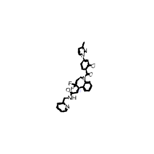 Cc1ccn(-c2ccc(C(=O)N3CCC(F)(F)/C(=C\C(=O)NCc4ccccn4)c4ccccc43)c(Cl)c2)n1